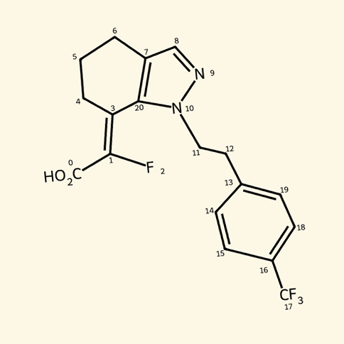 O=C(O)C(F)=C1CCCc2cnn(CCc3ccc(C(F)(F)F)cc3)c21